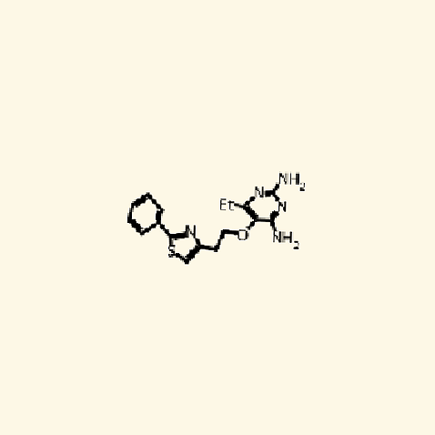 CCc1nc(N)nc(N)c1OCCc1csc(-c2ccccc2)n1